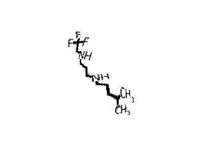 CC(C)CCCNCCCNCC(F)(F)F